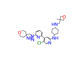 CC1(CN[C@H]2CC[C@H](Nc3cc(-c4cccc(NCC5(N)CCOCC5)n4)c(Cl)cn3)CC2)COC1